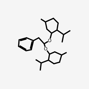 CC1CCC(C(C)C)C(OC(Cc2ccccc2)OC2CC(C)CCC2C(C)C)C1